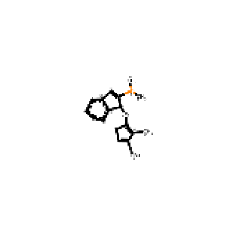 CCCCC1=CC[C]([Zr][CH]2C(P(C)C)=Cc3ccccc32)=C1C